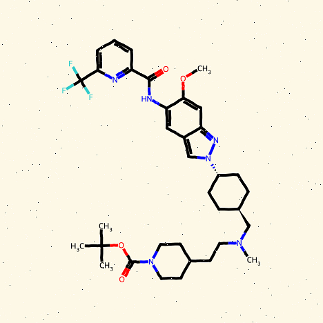 COc1cc2nn([C@H]3CC[C@H](CN(C)CCC4CCN(C(=O)OC(C)(C)C)CC4)CC3)cc2cc1NC(=O)c1cccc(C(F)(F)F)n1